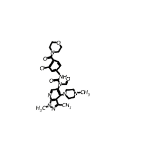 Cc1nn(C)c2ncc(N(C=O)C(=O)Nc3ccc(C(=O)N4CCOCC4)c(Cl)c3)c(N3CCN(C)CC3)c12